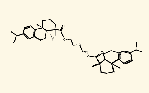 CC(C)c1ccc2c(c1)CCC1C(C)(C(=O)OCCOCCOC(=O)C3(C)CCC[C@@]4(C)c5ccc(C(C)C)cc5CC[C@H]34)CCCC21C